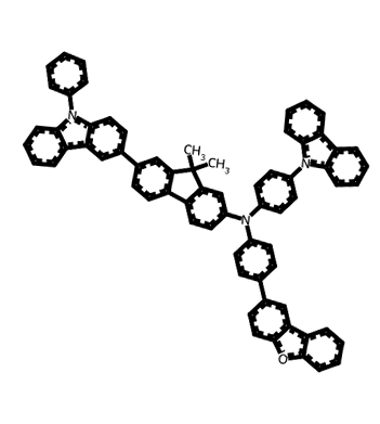 CC1(C)c2cc(-c3ccc4c(c3)c3ccccc3n4-c3ccccc3)ccc2-c2ccc(N(c3ccc(-c4ccc5oc6ccccc6c5c4)cc3)c3ccc(-n4c5ccccc5c5ccccc54)cc3)cc21